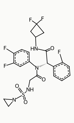 O=C(NC1CC(F)(F)C1)[C@H](c1ccccc1F)N(C(=O)CNS(=O)(=O)N1CC1)c1ccc(F)c(F)c1